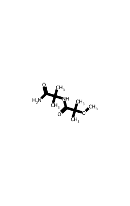 COC(C)(C)C(=O)NC(C)(C)C(N)=O